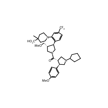 COC[C@H]1CN(C(=O)[C@@H]2CN(C3CCCC3)C[C@H]2c2ccc(OC)cc2)C[C@@H]1c1ccc(C(F)(F)F)cc1N1CCC(C)(C(=O)O)CC1